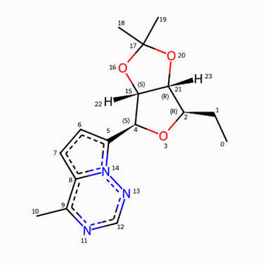 CC[C@H]1O[C@@H](c2ccc3c(C)ncnn23)[C@@H]2OC(C)(C)O[C@@H]21